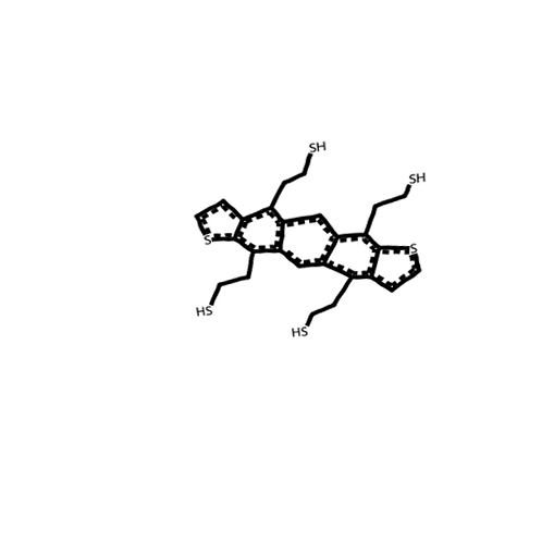 SCCc1c2cc3c(CCS)c4sccc4c(CCS)c3cc2c(CCS)c2sccc12